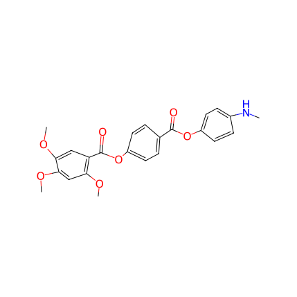 CNc1ccc(OC(=O)c2ccc(OC(=O)c3cc(OC)c(OC)cc3OC)cc2)cc1